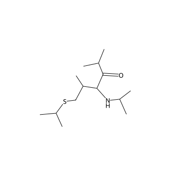 CC(C)NC(C(=O)C(C)C)C(C)CSC(C)C